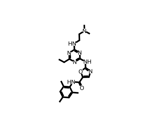 CCc1nc(NCCN(C)C)nc(Nc2ncc(C(=O)Nc3c(C)cc(C)cc3C)o2)n1